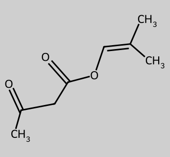 CC(=O)CC(=O)OC=C(C)C